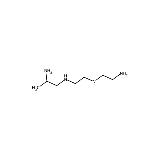 CC(N)CNCCNCCN